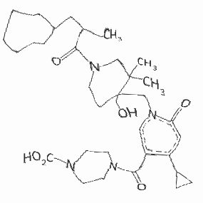 CC(CC1CCCCC1)C(=O)N1CCC(O)(Cn2cc(C(=O)N3CCN(C(=O)O)CC3)c(C3CC3)cc2=O)C(C)(C)C1